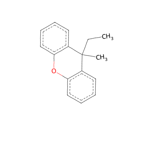 CCC1(C)c2ccccc2Oc2ccccc21